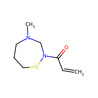 C=CC(=O)N1CN(C)CCCS1